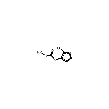 COC(=O)Oc1ccoc1C